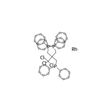 ClC(Cl)(Cl)C(CP(c1ccccc1)c1ccccc1)(CP(c1ccccc1)c1ccccc1)CP(c1ccccc1)c1ccccc1.[Rh]